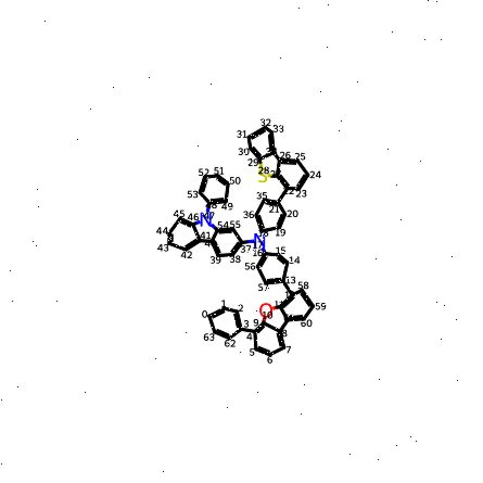 c1ccc(-c2cccc3c2oc2c(-c4ccc(N(c5ccc(-c6cccc7c6sc6ccccc67)cc5)c5ccc6c7ccccc7n(-c7ccccc7)c6c5)cc4)cccc23)cc1